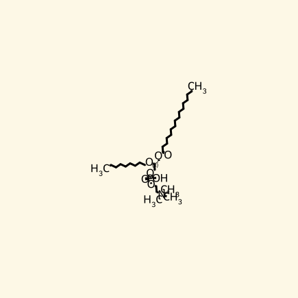 CCCCCCCCCCCCCCCC(=O)OC[C@H](COP(=O)(O)OCC[N+](C)(C)C)OCCCCCCCCC